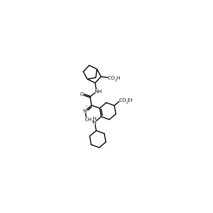 CCOC(=O)C1CCC(NC2CCCCC2)=C(/C(=N\C)C(=O)NC2C3CCC(C3)C2C(=O)O)C1